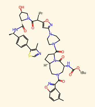 Cc1ccc2onc(C(=O)N3CC[C@H]4CC[C@@H](C(=O)N5CCN(c6cc(C(C(=O)N7C[C@H](O)C[C@H]7C(=O)N[C@H](C)c7ccc(-c8scnc8C)cc7)C(C)C)on6)CC5)N4C(=O)[C@@H](NC(=O)OC(C)(C)C)C3)c2c1